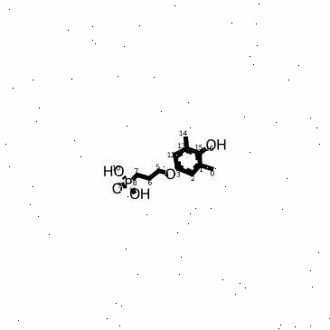 Cc1cc(OCCCP(=O)(O)O)cc(C)c1O